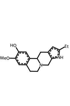 CCc1cc2c([nH]1)CN1CCc3cc(OC)c(O)cc3C1C2